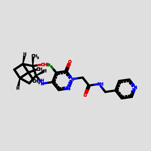 CC1(C)[C@@H]2C[C@@H](Nc3cnn(CC(=O)NCc4ccncc4)c(=O)c3Br)[C@@](C)(O)[C@H]1C2